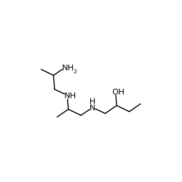 CCC(O)CNCC(C)NCC(C)N